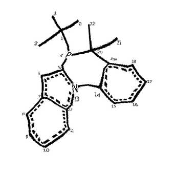 CC(C)(C)P1c2cc3ccccc3n2-c2ccccc2C1(C)C